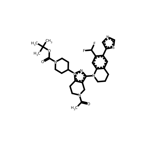 CC(=O)N1CCc2c(c(N3CCCc4cc(-c5cncs5)c(C(F)F)cc43)nn2C2CCN(C(=O)OC(C)(C)C)CC2)C1